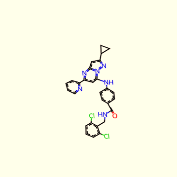 O=C(NCc1c(Cl)cccc1Cl)c1ccc(Nc2cc(-c3ccccn3)nc3cc(C4CC4)nn23)cc1